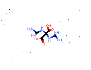 N=C(N)NC(NC(=N)N)(C(=O)O)C(=O)O